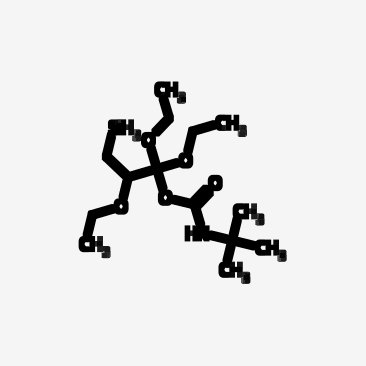 CCOC(C[SiH3])C(OCC)(OCC)OC(=O)NC(C)(C)C